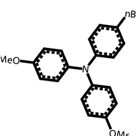 CCCCc1ccc(N(c2ccc(OC)cc2)c2ccc(OC)cc2)cc1